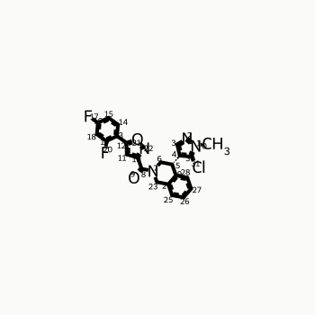 Cn1ncc([C@H]2CN(C(=O)c3cc(-c4ccc(F)cc4F)on3)Cc3ccccc32)c1Cl